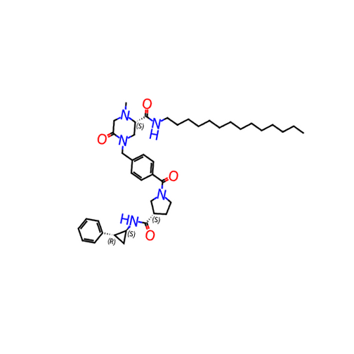 CCCCCCCCCCCCCCNC(=O)[C@@H]1CN(Cc2ccc(C(=O)N3CC[C@H](C(=O)N[C@H]4C[C@@H]4c4ccccc4)C3)cc2)C(=O)CN1C